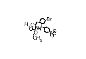 CCOC(=O)N1N=C(c2ccc([N+](=O)[O-])cc2)c2cc(Br)ccc2C=C1C